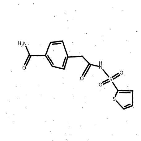 NC(=O)c1ccc(CC(=O)NS(=O)(=O)c2cccs2)cc1